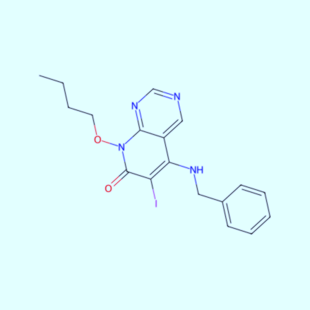 CCCCOn1c(=O)c(I)c(NCc2ccccc2)c2cncnc21